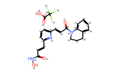 O=C(/C=C/c1cccc(/C=C/C(=O)N2CCCc3ccccc32)n1)NO.O=C(O)C(F)(F)F